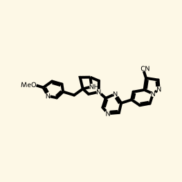 COc1ccc(CC23CC(CN(c4cncc(-c5ccn6ncc(C#N)c6c5)n4)C2)N3)cn1